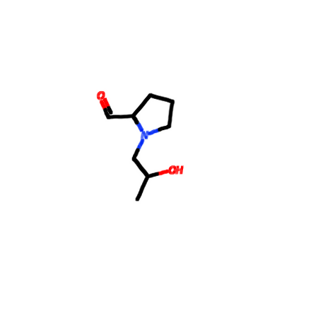 CC(O)CN1CCCC1C=O